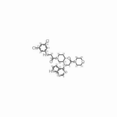 O=C(CN(c1ncnc2[nH]ccc12)[C@@H]1CCCN(C(=O)CNc2cc(Cl)cc(Cl)c2)C1)N1CCOCC1